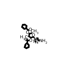 C[C@@H]1[C@H](OC(=O)c2ccccc2)[C@H](C)OC(n2cc(N)nn2)[C@H]1OC(=O)c1ccccc1